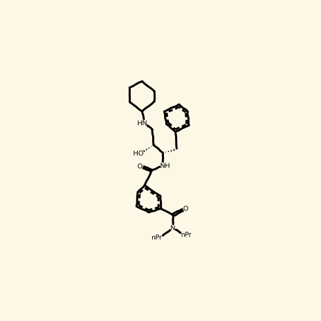 CCCN(CCC)C(=O)c1cccc(C(=O)N[C@@H](Cc2ccccc2)[C@H](O)CNC2CCCCC2)c1